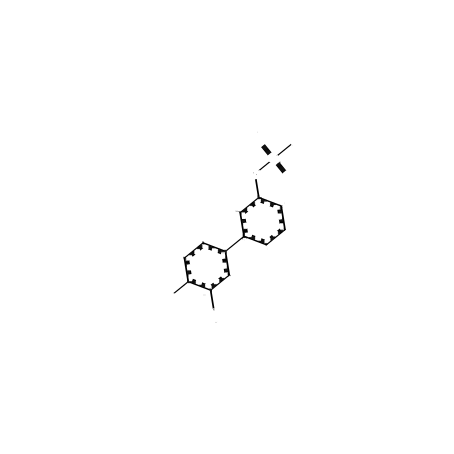 CS(=O)(=O)Nc1cccc(-c2ccc(C(F)(F)F)c(F)c2)c1